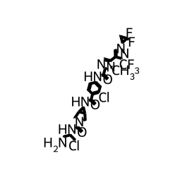 Cn1c(-c2cn(C3CC3(F)F)nc2C(F)(F)F)cnc1C(=O)Nc1ccc(C(=O)NC2C3CN(C(=O)NC(CN)CCl)CC32)c(Cl)c1